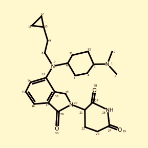 CN(C)C1CCC(N(CCC2CC2)c2cccc3c2CN(C2CCC(=O)NC2=O)C3=O)CC1